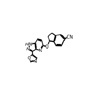 N#Cc1ccc2c(c1)CCC2Oc1ccc2[nH]nc(-c3cnco3)c2n1